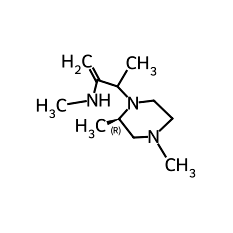 C=C(NC)C(C)N1CCN(C)C[C@H]1C